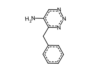 Nc1cnnnc1Cc1ccccc1